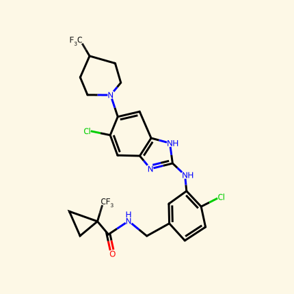 O=C(NCc1ccc(Cl)c(Nc2nc3cc(Cl)c(N4CCC(C(F)(F)F)CC4)cc3[nH]2)c1)C1(C(F)(F)F)CC1